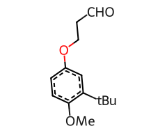 COc1ccc(OCCC=O)cc1C(C)(C)C